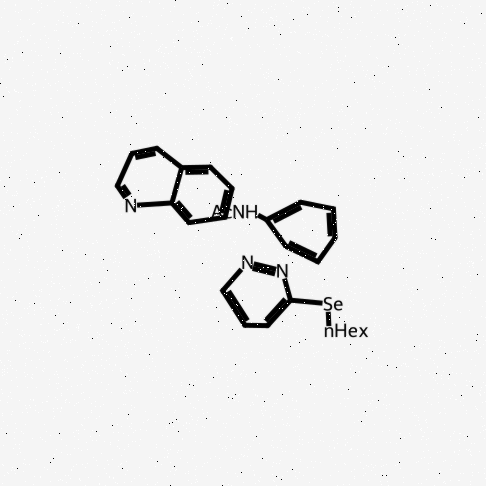 CC(=O)Nc1ccccc1.CCCCCC[Se]c1cccnn1.c1ccc2ncccc2c1